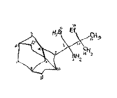 BC(B)(C1C2CC3CC(C2)CC1C3)C(C)(C)CC